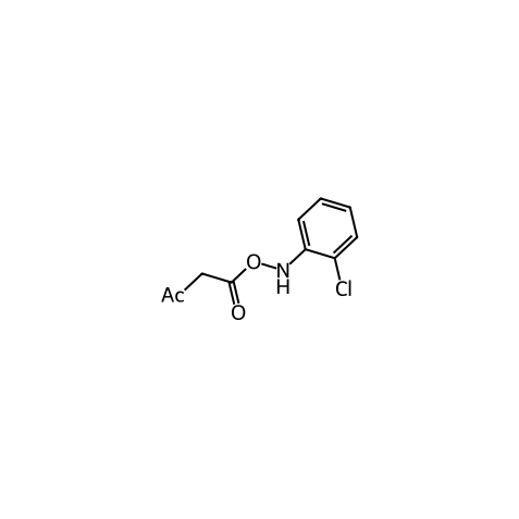 CC(=O)CC(=O)ONc1ccccc1Cl